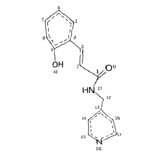 O=C(/C=C/c1ccccc1O)NCc1ccncc1